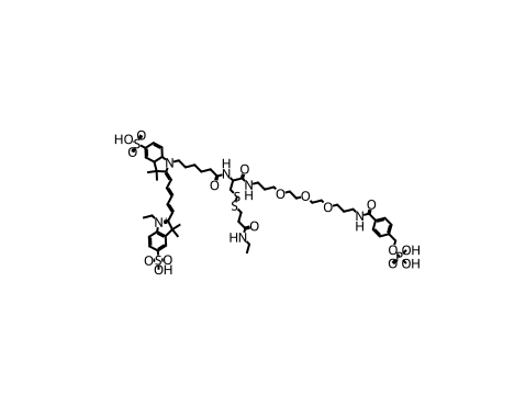 CCNC(=O)CCSSCC(NC(=O)CCCCCN1/C(=C/C=C/C=C/C2=[N+](CC)c3ccc(S(=O)(=O)O)cc3C2(C)C)C(C)(C)C2C=C(S(=O)(=O)O)C=CC21)C(=O)NCCCOCCOCCOCCCNC(=O)c1ccc(COP(=O)(O)O)cc1